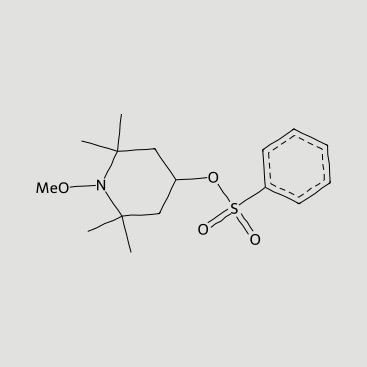 CON1C(C)(C)CC(OS(=O)(=O)c2ccccc2)CC1(C)C